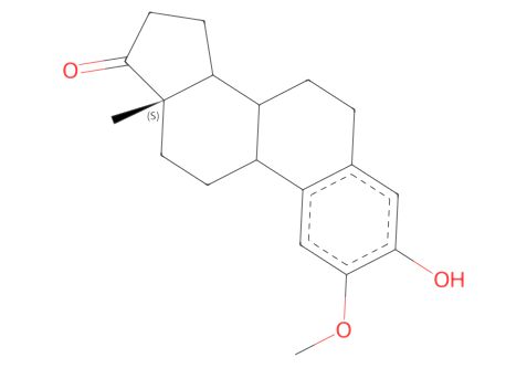 COc1cc2c(cc1O)CCC1C2CC[C@]2(C)C(=O)CCC12